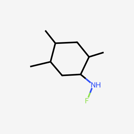 CC1CC(C)C(NF)CC1C